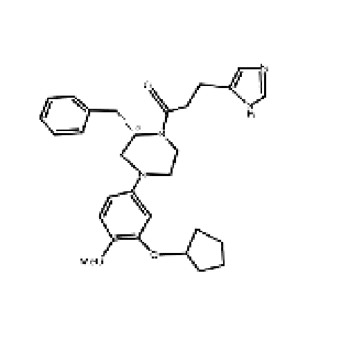 COc1ccc(N2CCN(C(=O)CCc3cnc[nH]3)[C@@H](Cc3ccccc3)C2)cc1OC1CCCC1